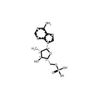 C[C@H]1[C@H](O)[C@@H](COP(=O)(O)S)O[C@H]1n1cnc2c(N)ncnc21